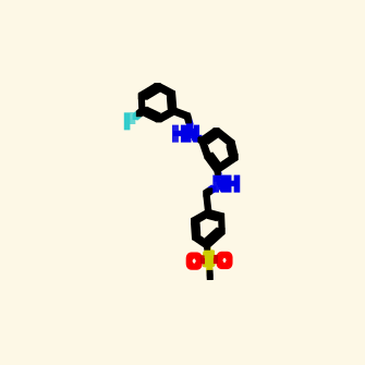 CS(=O)(=O)c1ccc(CNc2cccc(NCc3cccc(F)c3)c2)cc1